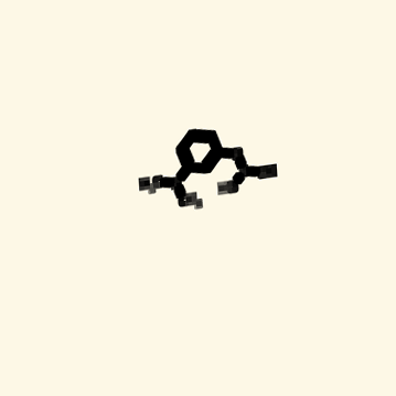 CN(C)c1cccc(OB(O)O)c1